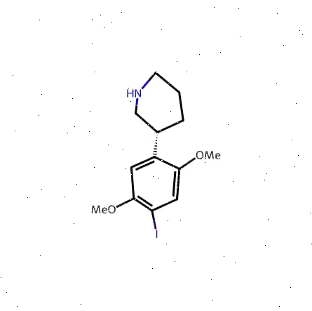 COc1cc([C@H]2CCCNC2)c(OC)cc1I